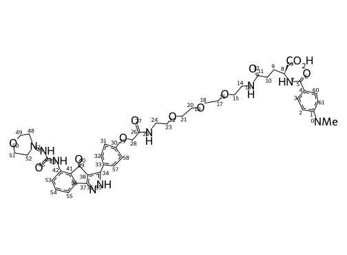 CNc1ccc(C(=O)N[C@@H](CCC(=O)NCCOCCOCCOCCNC(=O)COc2ccc(-c3[nH]nc4c3C(=O)c3c(NC(=O)NN5CCOCC5)cccc3-4)cc2)C(=O)O)cc1